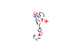 O=C1CCC(c2ccc(-c3ccc(OC(F)(F)F)cc3)cc2)N1C(CO)c1ccccc1